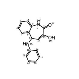 O=C1Nc2ccccc2C(Nc2ccccc2)C=C1O